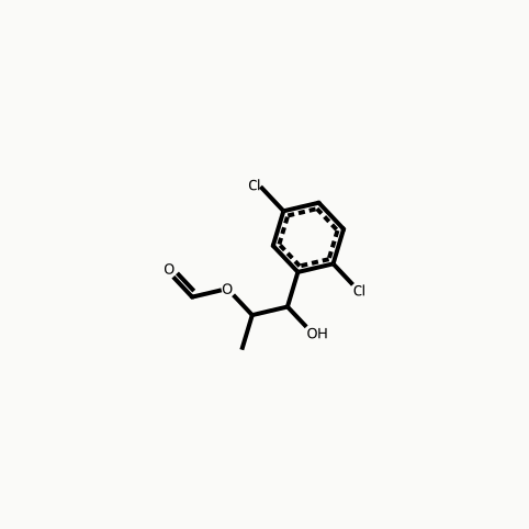 CC(OC=O)C(O)c1cc(Cl)ccc1Cl